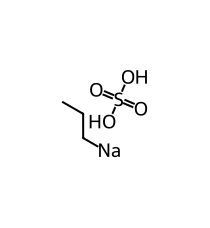 CC[CH2][Na].O=S(=O)(O)O